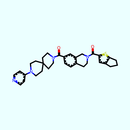 O=C(c1ccc2c(c1)CN(C(=O)c1cc3c(s1)CCC3)CC2)N1CCC2(CC1)CCN(c1ccncc1)CC2